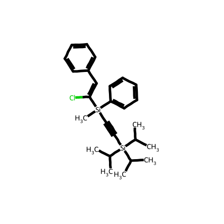 CC(C)[Si](C#C[Si](C)(C(Cl)=Cc1ccccc1)c1ccccc1)(C(C)C)C(C)C